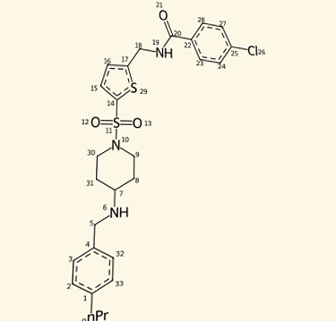 CCCc1ccc(CNC2CCN(S(=O)(=O)c3ccc(CNC(=O)c4ccc(Cl)cc4)s3)CC2)cc1